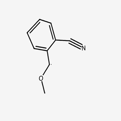 CO[CH]c1ccccc1C#N